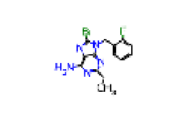 CCc1nc(N)c2nc(Br)n(Cc3ccccc3F)c2n1